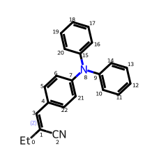 CC/C(C#N)=C/c1ccc(N(c2ccccc2)c2ccccc2)cc1